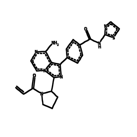 C=CC(=O)N1CCCC1c1nc(-c2ccc(C(=O)Nc3nccs3)cc2)c2c(N)nccn12